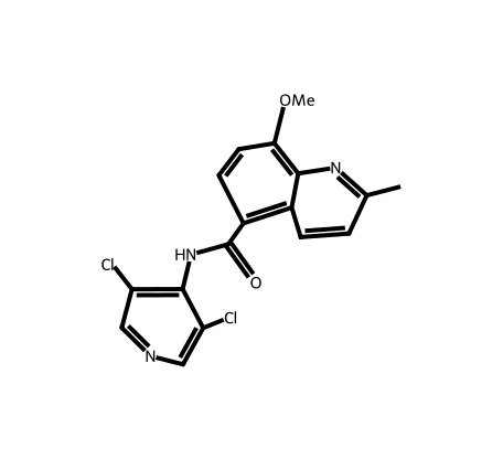 COc1ccc(C(=O)Nc2c(Cl)cncc2Cl)c2ccc(C)nc12